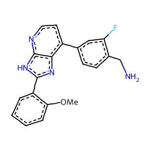 COc1ccccc1-c1nc2c(-c3ccc(CN)c(F)c3)ccnc2[nH]1